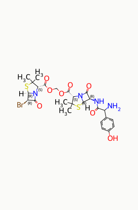 CC1(C)S[C@@H]2[C@H](Br)C(=O)N2[C@H]1C(=O)OCOC(=O)[C@@H]1N2C(=O)[C@@H](NC(=O)C(N)c3ccc(O)cc3)[C@H]2SC1(C)C